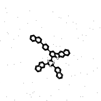 c1ccc2cc(-c3ccc(-c4cc(-c5nc(-c6ccc7ccccc7c6)nc(-c6ccc7ccccc7c6)n5)c5oc6cc7ccccc7cc6c5c4)cc3)ccc2c1